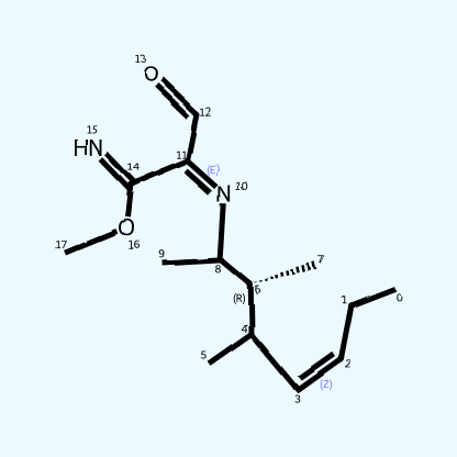 CC/C=C\C(C)[C@@H](C)C(C)/N=C(/C=O)C(=N)OC